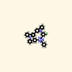 Fc1cc(-c2nc(-c3ccccc3)nc(-c3ccccc3)n2)cc(-n2c3ccccc3c3ccc(-c4ccc5c(c4)c4ccccc4n5-c4ccccc4)cc32)c1